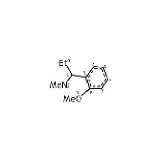 C[CH]C(NC)c1ccccc1OC